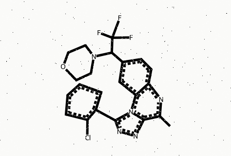 Cc1nc2ccc(C(N3CCOCC3)C(F)(F)F)cc2n2c(-c3ccccc3Cl)nnc12